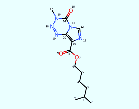 CC(C)CCCCOC(=O)c1ncn2c(=O)n(C)nnc12